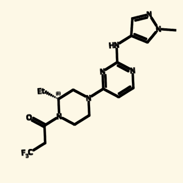 CC[C@@H]1CN(c2ccnc(Nc3cnn(C)c3)n2)CCN1C(=O)CC(F)(F)F